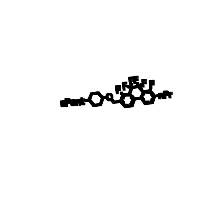 CCCCCC1CCC(OCc2ccc3c(c2F)C(F)(F)C(F)(F)c2c-3ccc(CCC)c2F)CC1